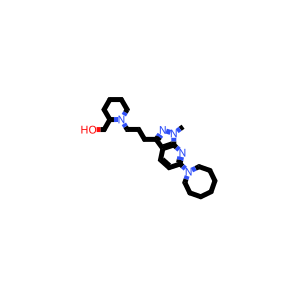 Cn1nc(CCCN2CCCCC2CO)c2ccc(N3CCCCCCC3)nc21